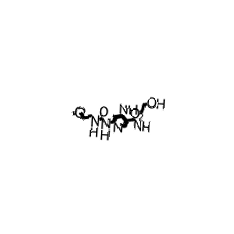 COCCNC(=O)Nc1cc(N)c(C(=N)OCCO)cn1